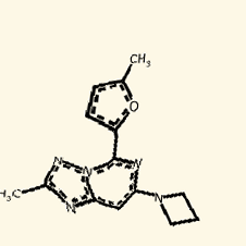 Cc1nc2cc(N3CCC3)nc(-c3ccc(C)o3)n2n1